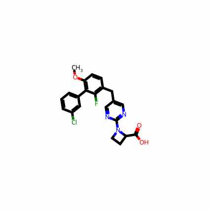 COc1ccc(Cc2cnc(N3CCC3C(=O)O)nc2)c(F)c1-c1cccc(Cl)c1